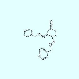 O=C1CCC(=NOCc2ccccc2)C(=NOCc2ccccc2)C1